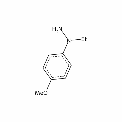 CCN(N)c1ccc(OC)cc1